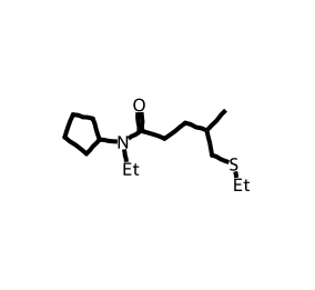 CCSCC(C)CCC(=O)N(CC)C1CCCC1